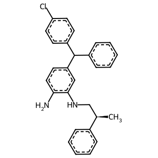 C[C@H](CNc1cc(C(c2ccccc2)c2ccc(Cl)cc2)ccc1N)c1ccccc1